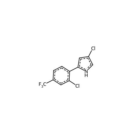 FC(F)(F)c1ccc(-c2cc(Cl)c[nH]2)c(Cl)c1